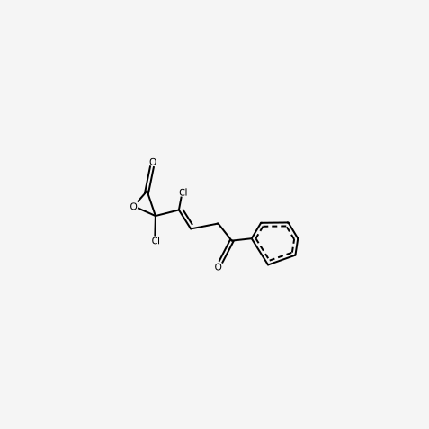 O=C(CC=C(Cl)C1(Cl)OC1=O)c1ccccc1